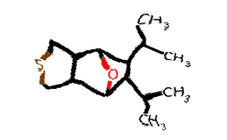 CC(C)C1C2OC(C3CSCC32)C1C(C)C